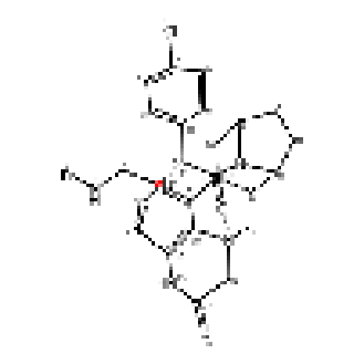 CC(C)NCC[C@@H](C(=O)N1C2CCC1CN(c1ncnc3c1N(C)CC(=O)N3)C2)c1ccc(Cl)cc1